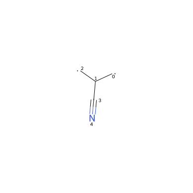 [CH2]C([CH2])C#N